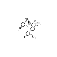 [C-]#[N+]c1ccc(OC)c(OCc2c(-c3ccc(F)cc3OC)ccc3c2C(C)=CC(C)(C)N3)c1